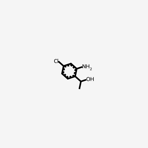 CC(O)c1ccc(Cl)cc1N